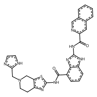 O=C(Nc1nc2c(C(=O)Nc3nc4c(s3)CN(Cc3ncc[nH]3)CC4)cccc2[nH]1)c1cc2ccccc2cn1